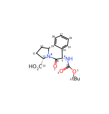 CC(C)(C)OC(=O)N[C@H](C(=O)N1CCC[C@H]1C(=O)O)c1ccccc1